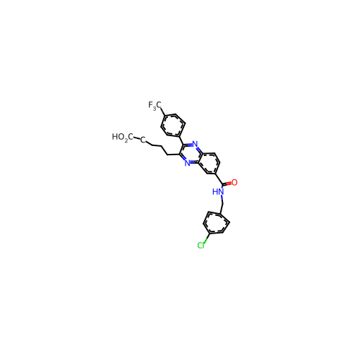 O=C(O)CCCCc1nc2cc(C(=O)NCc3ccc(Cl)cc3)ccc2nc1-c1ccc(C(F)(F)F)cc1